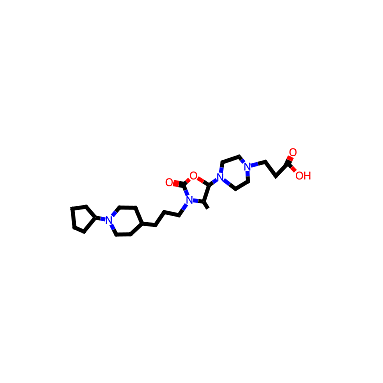 CC1C(N2CCN(CCC(=O)O)CC2)OC(=O)N1CCCC1CCN(C2CCCC2)CC1